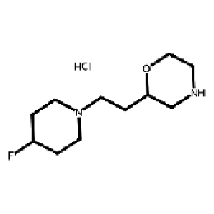 Cl.FC1CCN(CCC2CNCCO2)CC1